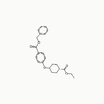 CCOC(=O)C1CCC(Oc2ccc(C(=O)OCc3ccccc3)cc2)CC1